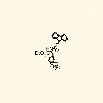 CCOC(=O)[C@H](Cc1cccc(OS(C)(=O)=O)c1)NC(=O)OCC1c2ccccc2-c2ccccc21